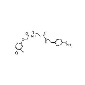 C=C(CCC(=O)NCCc1ccc(SN)cc1)NC(=O)COc1ccc(Cl)c(F)c1